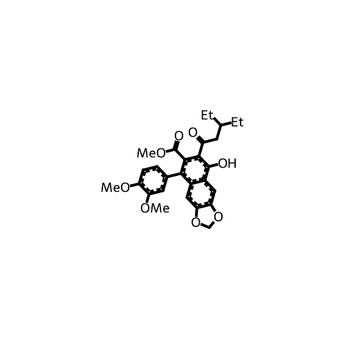 CCC(CC)CC(=O)c1c(C(=O)OC)c(-c2ccc(OC)c(OC)c2)c2cc3c(cc2c1O)OCO3